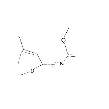 C=C(/N=C(\C=C(C)C)OC)OC